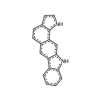 c1ccc2c(c1)[nH]c1cc3c(ccc4cc[nH]c43)cc12